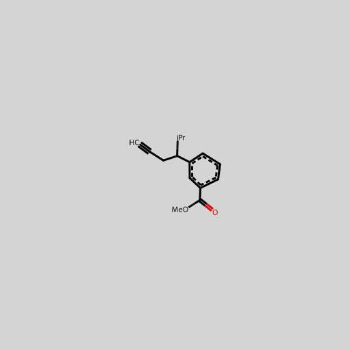 C#CCC(c1cccc(C(=O)OC)c1)C(C)C